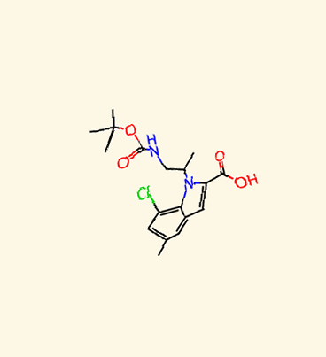 Cc1cc(Cl)c2c(c1)cc(C(=O)O)n2C(C)CNC(=O)OC(C)(C)C